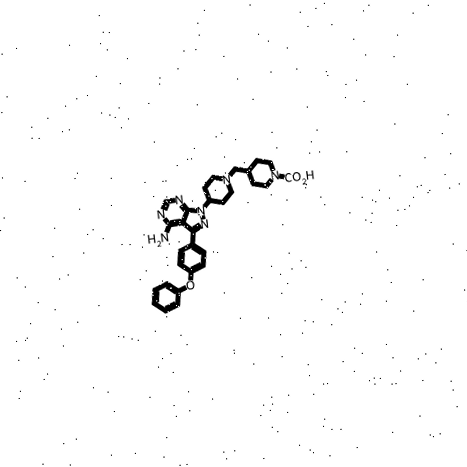 Nc1ncnc2c1c(-c1ccc(Oc3ccccc3)cc1)nn2C1CCN(CC2CCN(C(=O)O)CC2)CC1